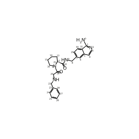 Nc1nccc2cc(CNC(=O)[C@@H]3CCCCN3C(=O)CNCc3ccccc3)ccc12